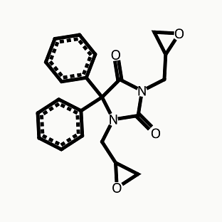 O=C1N(CC2CO2)C(=O)C(c2ccccc2)(c2ccccc2)N1CC1CO1